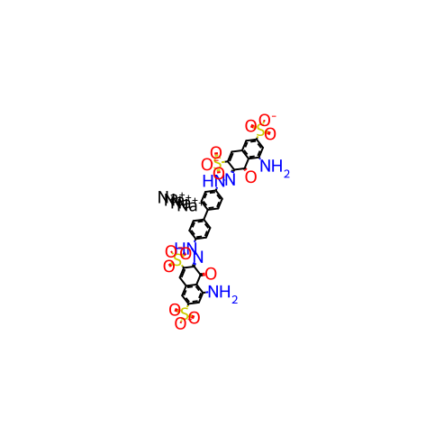 Nc1cc(S(=O)(=O)[O-])cc2c1C(=O)/C(=N/Nc1ccc(-c3ccc(N/N=C4/C(=O)c5c(N)cc(S(=O)(=O)[O-])cc5C=C4S(=O)(=O)[O-])cc3)cc1)C(S(=O)(=O)[O-])=C2.[Na+].[Na+].[Na+].[Na+]